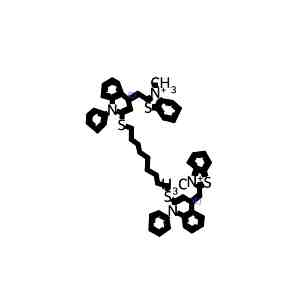 C[n+]1c(/C=C2\C=C(SCCCCCCCCCSC3=C/C(=C\c4sc5ccccc5[n+]4C)c4ccccc4N3c3ccccc3)N(c3ccccc3)c3ccccc32)sc2ccccc21